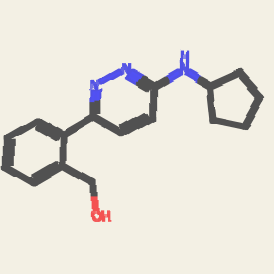 OCc1ccccc1-c1ccc(NC2CCCC2)nn1